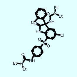 CCN(CC)C(=O)Nc1ccc(S(=O)(=O)c2cc(Cl)cc3c2NC(=O)C3(NC(=O)N(CC)CC)c2ccccc2Cl)cc1